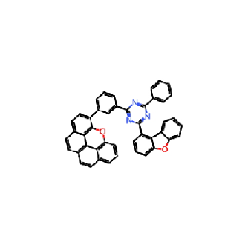 c1ccc(-c2nc(-c3cccc(-c4ccc5ccc6ccc7cccc8c7c6c5c4O8)c3)nc(-c3cccc4oc5ccccc5c34)n2)cc1